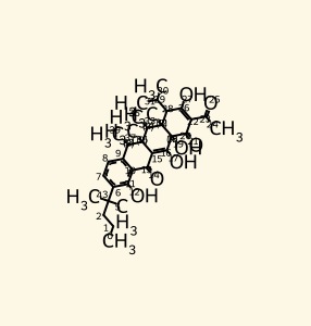 CCCC(C)(C)c1ccc2c(c1O)C(=O)C1=C(O)[C@@]3(O)C(=O)C(C(C)=O)=C(O)C(C(C)C)[C@@]3(C)[C@H](C)[C@@]1(C)[C@@H]2C